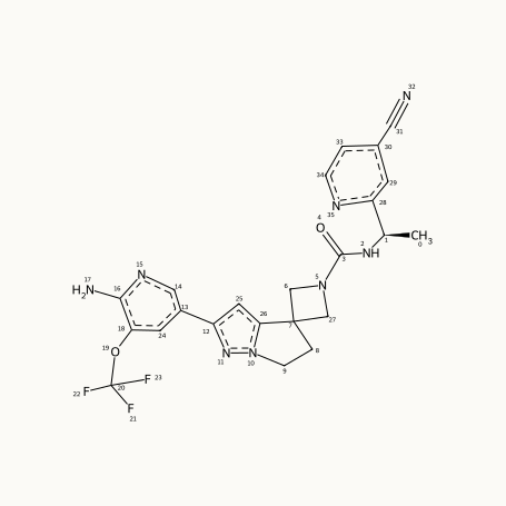 C[C@@H](NC(=O)N1CC2(CCn3nc(-c4cnc(N)c(OC(F)(F)F)c4)cc32)C1)c1cc(C#N)ccn1